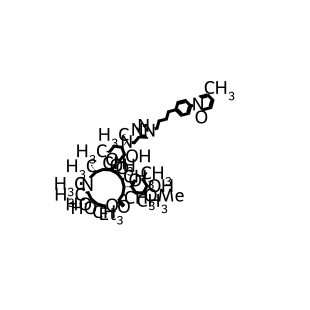 CC[C@H]1OC(=O)[C@H](C)[C@@H](C2C[C@@](C)(OC)[C@@H](O)[C@H](C)O2)[C@H](C)[C@@H](O[C@@H]2O[C@H](C)C[C@H](N(C)Cc3cn(CCCCc4ccc(-n5cc(C)ccc5=O)cc4)nn3)[C@H]2O)[C@](C)(O)C[C@@H](C)CN(C)[C@H](C)[C@@H](O)[C@]1(C)O